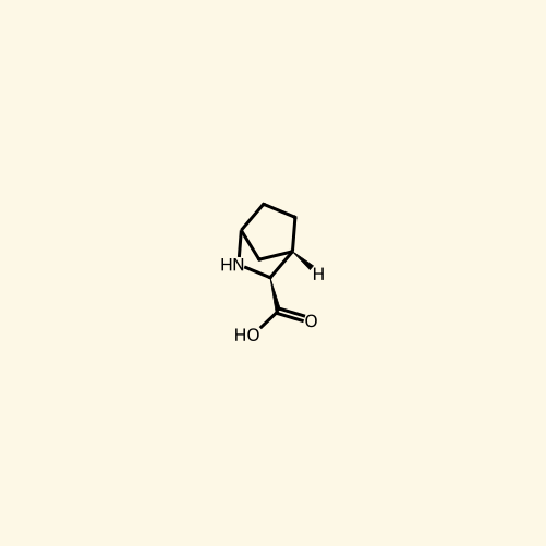 O=C(O)[C@H]1NC2CC[C@H]1C2